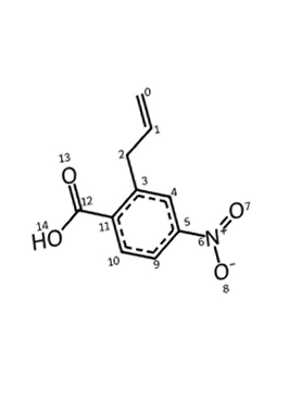 C=CCc1cc([N+](=O)[O-])ccc1C(=O)O